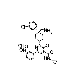 NC[C@]1(c2cccc(Cl)c2)CC[C@H](n2nc(-c3ccccc3)cc(C(=O)NC3CC3)c2=O)CC1.O=CO